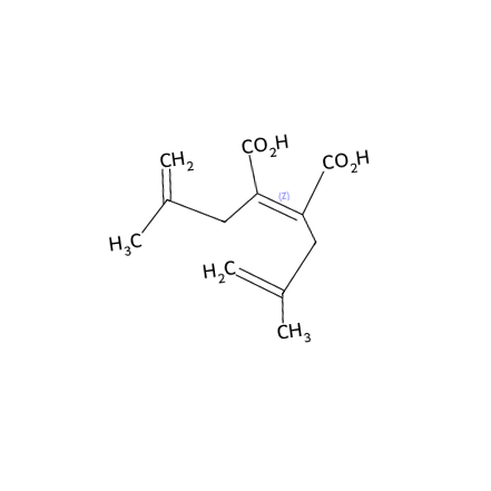 C=C(C)C/C(C(=O)O)=C(\CC(=C)C)C(=O)O